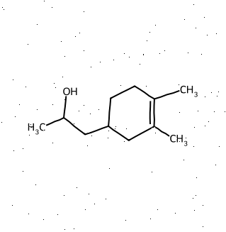 CC1=C(C)CC(CC(C)O)CC1